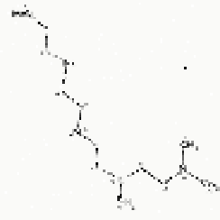 CNCCNCCNCCN(C)CCN(C)C